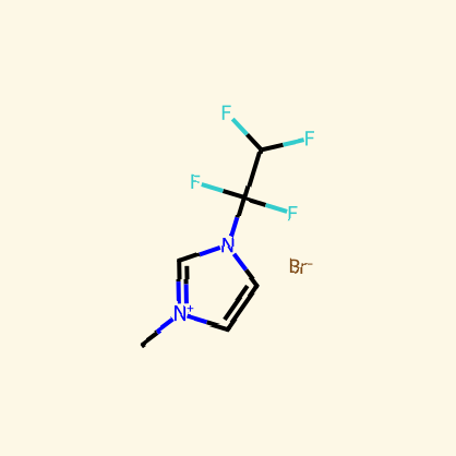 C[n+]1ccn(C(F)(F)C(F)F)c1.[Br-]